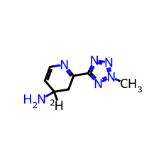 [2H]C1(N)C=CN=C(c2nnn(C)n2)C1